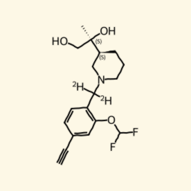 [2H]C([2H])(c1ccc(C#C)cc1OC(F)F)N1CCC[C@H]([C@](C)(O)CO)C1